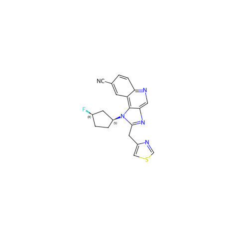 N#Cc1ccc2ncc3nc(Cc4cscn4)n([C@H]4CC[C@@H](F)C4)c3c2c1